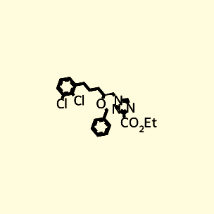 CCOC(=O)c1ncn(C[C@H](CCCc2cccc(Cl)c2Cl)OCc2ccccc2)n1